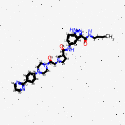 CCCCNC(=O)c1n[nH]c2ccc(NC(=O)C3CCN(CC(=O)N4CCN(c5ccc(-c6ncccn6)cc5)CC4)C3)cc12